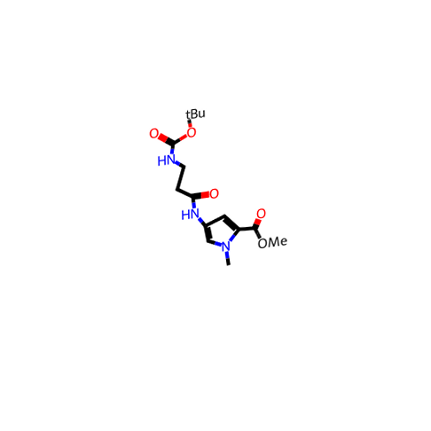 COC(=O)c1cc(NC(=O)CCNC(=O)OC(C)(C)C)cn1C